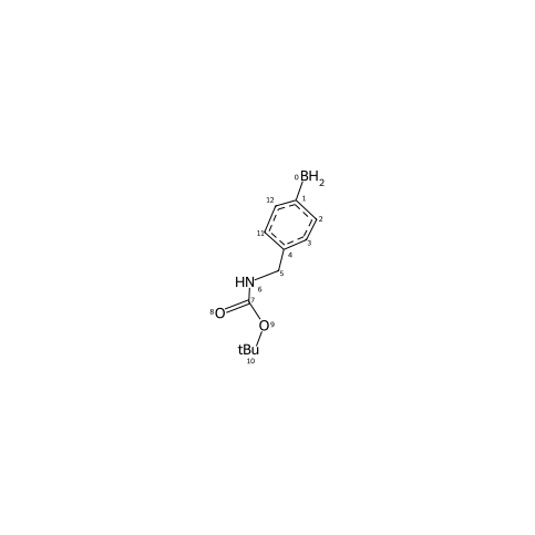 Bc1ccc(CNC(=O)OC(C)(C)C)cc1